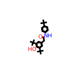 CC(C)(C)c1ccc(NC(=O)Cc2cc(C(C)(C)C)c(O)c(C(C)(C)C)c2)cc1